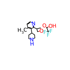 Cc1ccnc(C2COC2)c1C1CCNCC1.O=C(O)C(F)(F)F